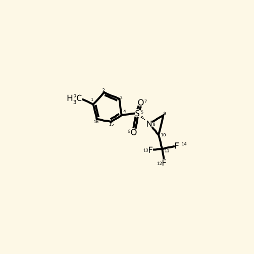 Cc1ccc(S(=O)(=O)[N@]2CC2C(F)(F)F)cc1